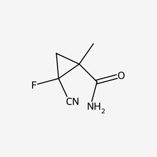 CC1(C(N)=O)CC1(F)C#N